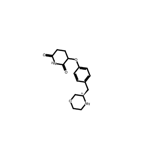 O=C1CCC(Oc2ccc(C[C@@H]3COCCN3)cc2)C(=O)N1